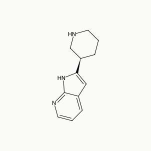 c1cnc2[nH]c([C@@H]3CCCNC3)cc2c1